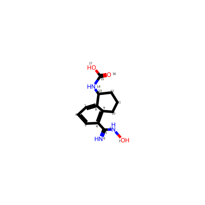 N=C(NO)c1cccc2c1CCCC2NC(=O)O